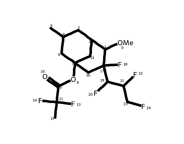 COC1C2CC(C)CC(OC(=O)C(C)(F)F)(C2)CC1(F)C(F)C(F)CF